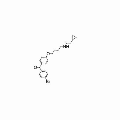 O=C(c1ccc(Br)cc1)c1ccc(OCC=CCNCCC2CC2)cc1